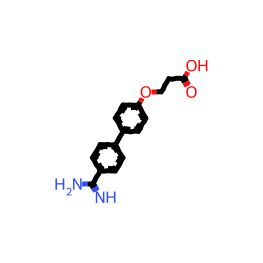 N=C(N)c1ccc(-c2ccc(OCCC(=O)O)cc2)cc1